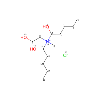 CCCCC(O)[N+](C)(CCO)C(O)CCCC.[Cl-]